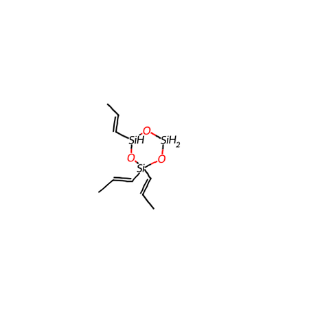 CC=C[SiH]1O[SiH2]O[Si](C=CC)(C=CC)O1